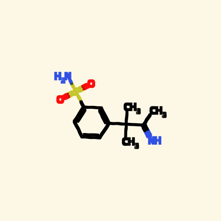 CC(=N)C(C)(C)c1cccc(S(N)(=O)=O)c1